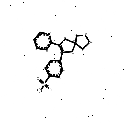 NS(=O)(=O)c1ccc(C2=C(c3ccccc3)CC3(CCCC3)C2)cc1